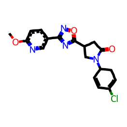 COc1ccc(-c2noc(C3CC(=O)N(C4C=CC(Cl)=CC4)C3)n2)cn1